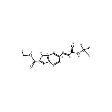 CCOC(=O)c1cc2ccc(C=CC(=O)OC(C)(C)C)cc2s1